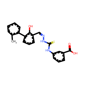 Cc1ccccc1-c1cccc(/C=N\NC(=S)Nc2cccc(C(=O)O)c2)c1O